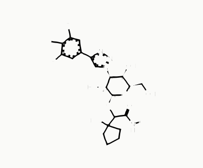 CNC(=O)C(S[C@@H]1O[C@H](CO)[C@H](O)[C@H](n2cc(-c3cc(F)c(F)c(F)c3)nn2)[C@H]1O)C1(O)CCCC1